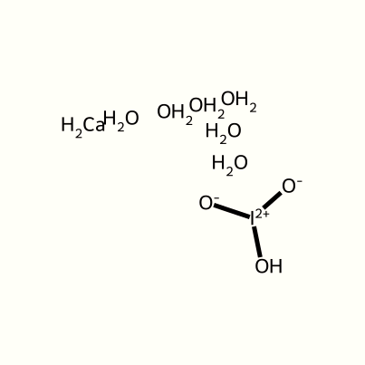 O.O.O.O.O.O.[CaH2].[O-][I+2]([O-])O